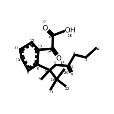 C=C(CCC)CC(C)(c1ccccc1C(=O)C(=O)O)C(C)(C)C